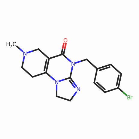 CN1CCC2=C(C1)C(=O)N(Cc1ccc(Br)cc1)C1=NCCN12